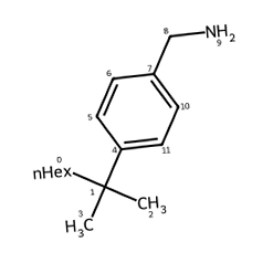 CCCCCCC(C)(C)c1ccc(CN)cc1